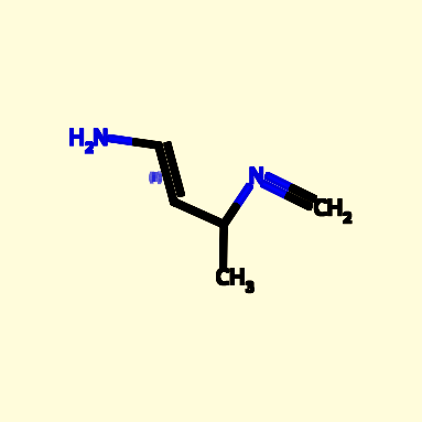 C=NC(C)/C=C/N